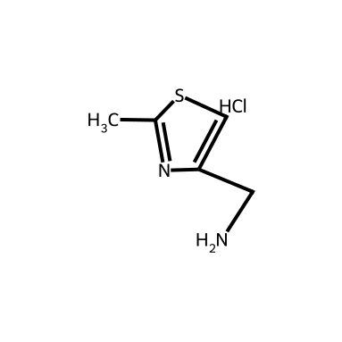 Cc1nc(CN)cs1.Cl